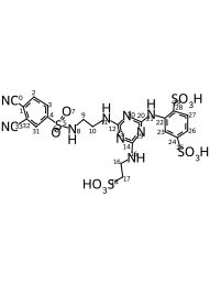 N#Cc1ccc(S(=O)(=O)NCCNc2nc(NCCS(=O)(=O)O)nc(Nc3cc(S(=O)(=O)O)ccc3S(=O)(=O)O)n2)cc1C#N